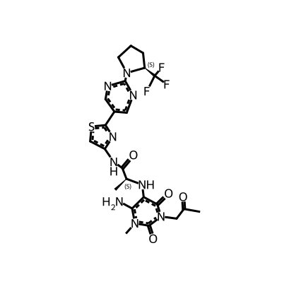 CC(=O)Cn1c(=O)c(N[C@@H](C)C(=O)Nc2csc(-c3cnc(N4CCC[C@H]4C(F)(F)F)nc3)n2)c(N)n(C)c1=O